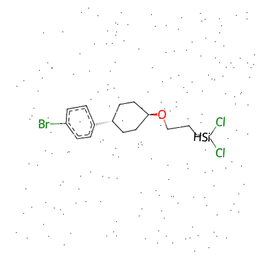 Cl[SiH](Cl)CCCO[C@H]1CC[C@H](c2ccc(Br)cc2)CC1